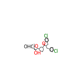 CC1(C=O)C=C(O)C(C2CCCC(C(=O)C(Cc3ccc(Cl)cc3)Cc3ccc(Cl)cc3)C2)O1